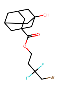 O=C(OCCC(F)(F)CBr)C12CC3CC(CC(O)(C3)C1)C2